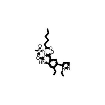 CCCCCC(=O)N(n1c(=O)[nH]c2cc(CC)c(-c3ccnn3CC)cc2c1=O)S(C)(=O)=O